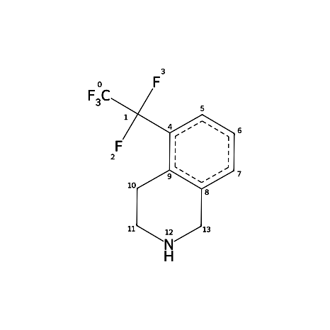 FC(F)(F)C(F)(F)c1cccc2c1CCNC2